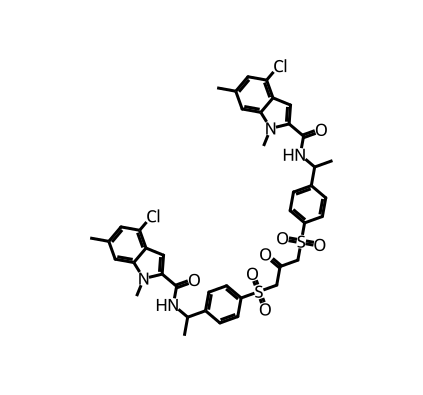 Cc1cc(Cl)c2cc(C(=O)NC(C)c3ccc(S(=O)(=O)CC(=O)CS(=O)(=O)c4ccc(C(C)NC(=O)c5cc6c(Cl)cc(C)cc6n5C)cc4)cc3)n(C)c2c1